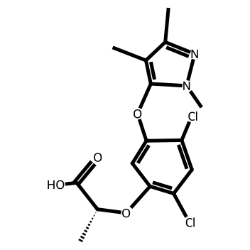 Cc1nn(C)c(Oc2cc(O[C@H](C)C(=O)O)c(Cl)cc2Cl)c1C